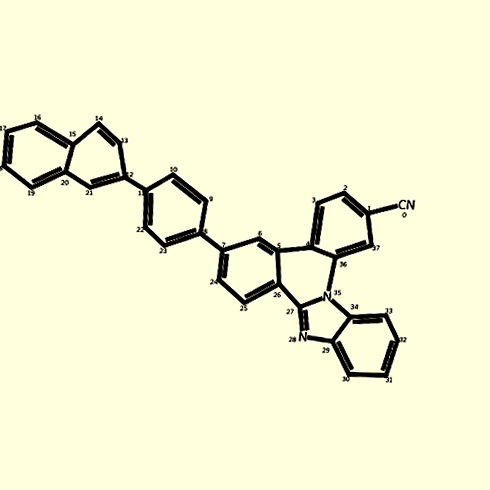 N#Cc1ccc2c3cc(-c4ccc(-c5ccc6ccccc6c5)cc4)ccc3c3nc4ccccc4n3c2c1